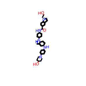 O=C(Nc1ccc(-n2ncc3cc(Nc4ccc(N5CCC(O)CC5)cc4)ccc32)cc1)c1ccc2c(ccn2CCO)c1